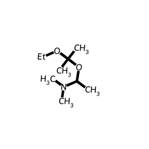 CCOC(C)(C)OC(C)N(C)C